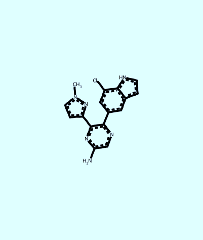 Cn1ccc(-c2nc(N)cnc2-c2cc(Cl)c3[nH]ccc3c2)n1